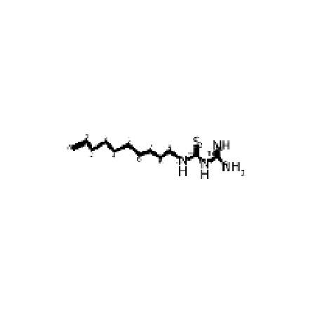 C=CCCCCCCCCNC(=S)NC(=N)N